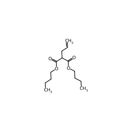 C=CCC(C(=O)OCCCC)C(=O)OCCCC